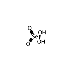 O=[Se]=O.OO